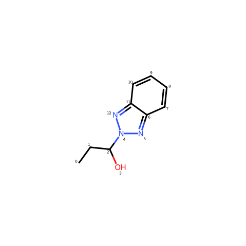 CCC(O)n1nc2ccccc2n1